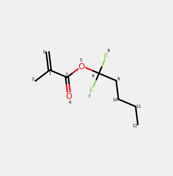 C=C(C)C(=O)OC(F)(F)CCCC